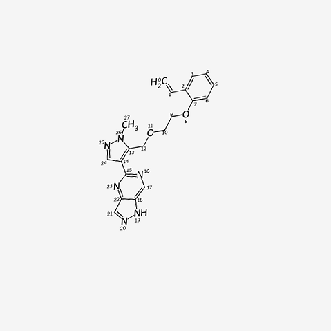 C=Cc1ccccc1OCCOCc1c(-c2ncc3[nH]ncc3n2)cnn1C